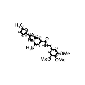 COc1cc(CNC(=O)c2cc(N)n3nc(-c4ccc(C)o4)nc3c2)cc(OC)c1OC